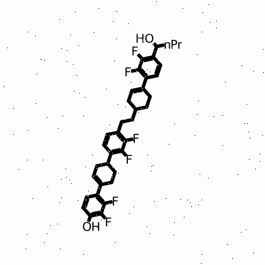 CCCC(O)c1ccc(C2=CCC(CCc3ccc(C4CC=C(c5ccc(O)c(F)c5F)CC4)c(F)c3F)CC2)c(F)c1F